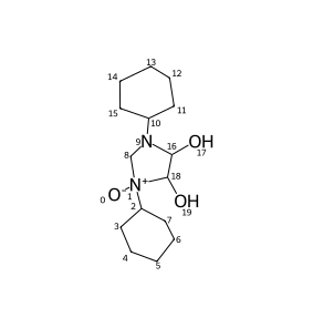 [O-][N+]1(C2CCCCC2)CN(C2CCCCC2)C(O)C1O